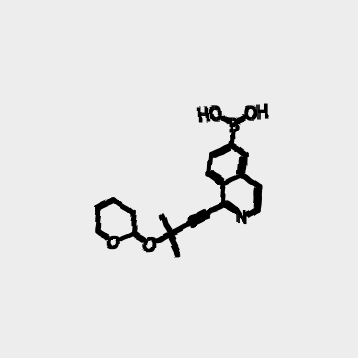 CC(C)(C#Cc1nccc2cc(B(O)O)ccc12)OC1CCCCO1